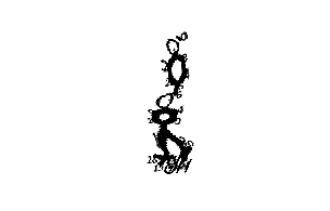 COC1CCC(COc2ccc(C3CC(C)(C)N(O)C(C)(C)C3)cc2)CC1